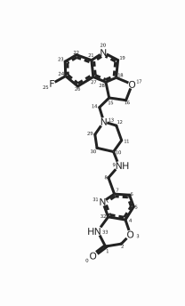 O=C1COc2ccc(CNC3CCN(CC4COc5cnc6ccc(F)cc6c54)CC3)nc2N1